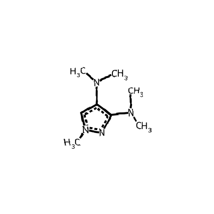 CN(C)c1cn(C)nc1N(C)C